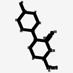 CCCCCC1CCC(C2CCC(C)CC2)C(=O)O1